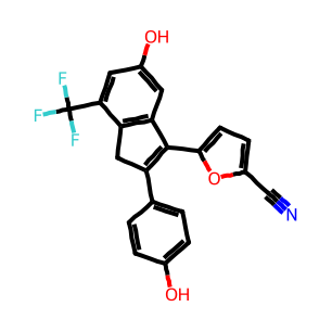 N#Cc1ccc(C2=C(c3ccc(O)cc3)Cc3c2cc(O)cc3C(F)(F)F)o1